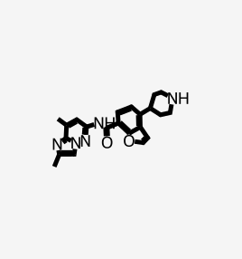 Cc1cn2nc(NC(=O)c3ccc(C4CCNCC4)c4ccoc34)cc(C)c2n1